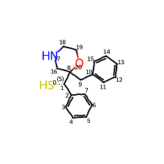 S[C@@H](c1ccccc1)C1(Cc2ccccc2)CNCCO1